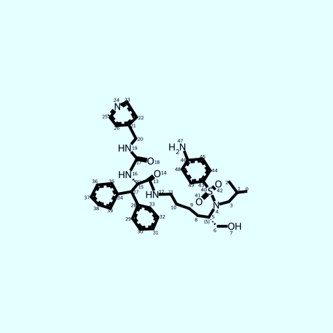 CC(C)CN([C@H](CO)CCCCNC(=O)[C@@H](NC(=O)NCc1ccncc1)C(c1ccccc1)c1ccccc1)S(=O)(=O)c1ccc(N)cc1